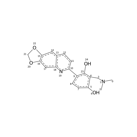 CN(C)Cc1c(O)ccc(-c2ccc3cc4c(cc3n2)OCO4)c1O